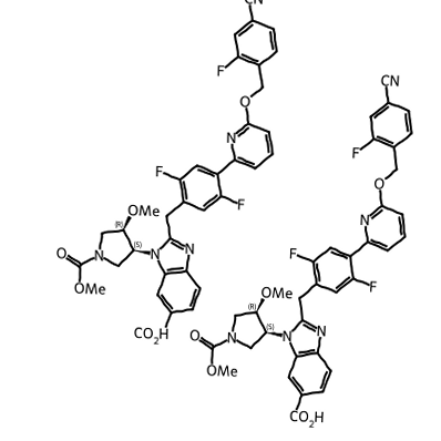 COC(=O)N1C[C@@H](OC)[C@@H](n2c(Cc3cc(F)c(-c4cccc(OCc5ccc(C#N)cc5F)n4)cc3F)nc3ccc(C(=O)O)cc32)C1.COC(=O)N1C[C@@H](OC)[C@@H](n2c(Cc3cc(F)c(-c4cccc(OCc5ccc(C#N)cc5F)n4)cc3F)nc3ccc(C(=O)O)cc32)C1